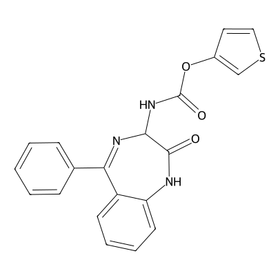 O=C(NC1N=C(c2ccccc2)c2ccccc2NC1=O)Oc1ccsc1